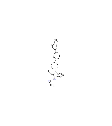 C\C=C/C=C1\C(=C\F)C(C2CCCN(C3=CC=C(C4C=CN(C)N=C4)CCC3)CC2)n2cncc21